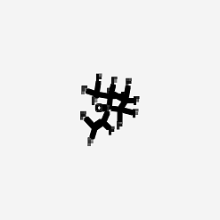 O=P(C(F)=C(F)F)(C(F)(F)C(F)(F)F)C(F)(F)C(F)(F)F